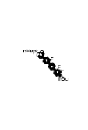 CCCCCCCC1OCC(c2ccc(-c3ccc(-c4ccc(OCCCC)c(F)c4F)cc3)c(F)c2)CO1